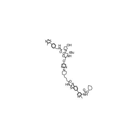 Cc1ncc(-c2ccc3nc(NC(=O)CCCC4CCN(c5ncc(OCC(=O)N[C@H](C(=O)N6C[C@H](O)C[C@H]6C(=O)NCc6ccc(-c7scnc7C)cc6)C(C)(C)C)cn5)CC4)sc3c2)cc1NC(=O)OC1CCCCC1